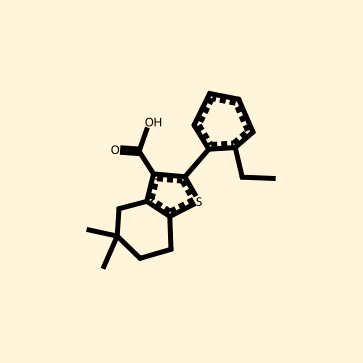 CCc1ccccc1-c1sc2c(c1C(=O)O)CC(C)(C)CC2